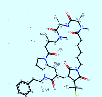 CC[C@H](C)[C@@H]([C@@H](CC(=O)N1CCC[C@H]1[C@H](OC)[C@@H](C)C(=O)N[C@@H](Cc1ccccc1)C(=O)O)OC)N(C)C(=O)[C@@H](NC(=O)[C@H](C(C)C)N(C)C(=O)CCCCCN1C(=O)CC(C(C)(S)CC)C1=O)C(C)C